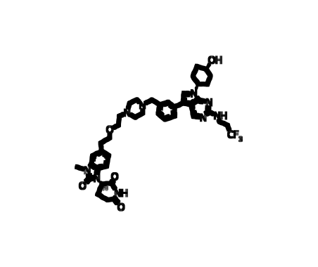 Cn1c(=O)n([C@H]2CCC(=O)NC2=O)c2ccc(CCOCCN3CCN(Cc4cccc(-c5cn([C@H]6CC[C@H](O)CC6)c6nc(NCCC(F)(F)F)ncc56)c4)CC3)cc21